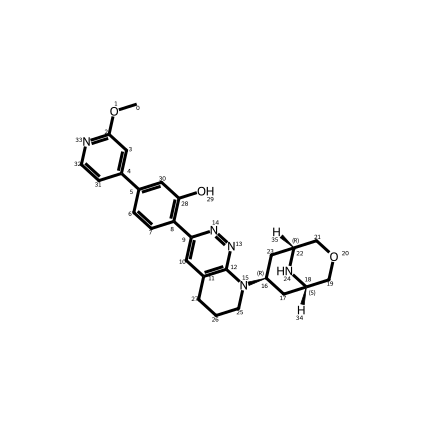 COc1cc(-c2ccc(-c3cc4c(nn3)N([C@@H]3C[C@H]5COC[C@@H](C3)N5)CCC4)c(O)c2)ccn1